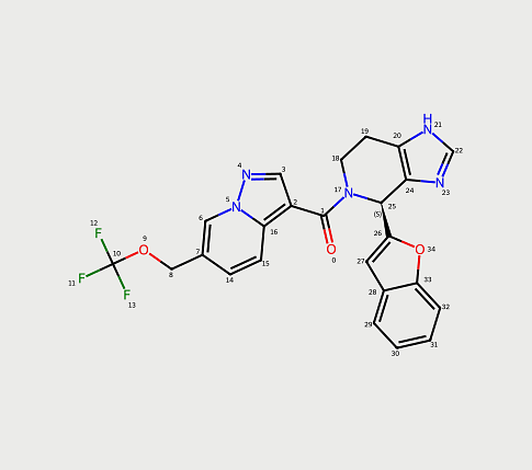 O=C(c1cnn2cc(COC(F)(F)F)ccc12)N1CCc2[nH]cnc2[C@H]1c1cc2ccccc2o1